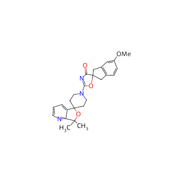 COc1ccc2c(c1)CC1(C2)OC(N2CCC3(CC2)OC(C)(C)c2ncccc23)=NC1=O